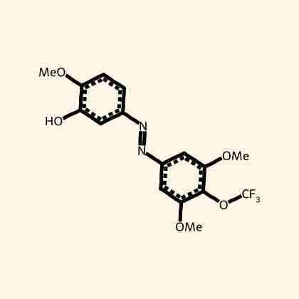 COc1ccc(N=Nc2cc(OC)c(OC(F)(F)F)c(OC)c2)cc1O